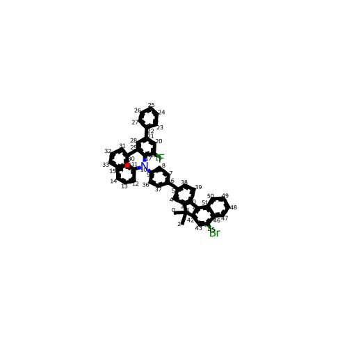 CC1(C)c2cc(-c3ccc(N(c4ccccc4)c4c(F)cc(-c5ccccc5)cc4-c4ccccc4)cc3)ccc2-c2c1cc(Br)c1ccccc21